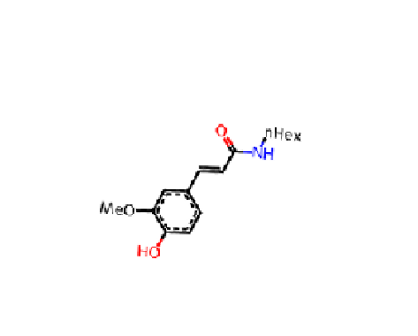 CCCCCCNC(=O)C=Cc1ccc(O)c(OC)c1